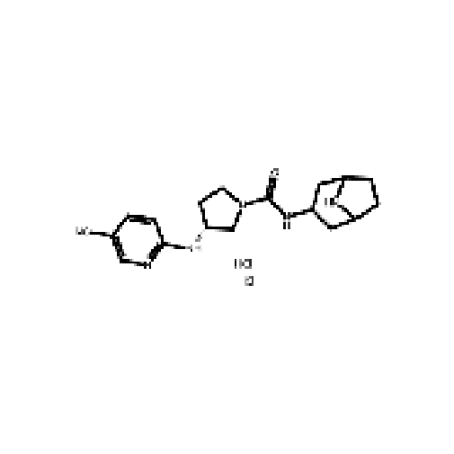 Cl.Cl.N#Cc1ccc(N[C@@H]2CCN(C(=O)NC3CC4CCC(C3)N4)C2)nc1